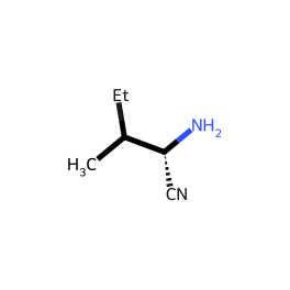 CCC(C)[C@H](N)C#N